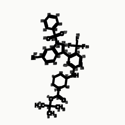 CC(C)(C)OC(=O)N1CCCC(Nc2ncc(C(F)(F)F)c(-c3cn(S(=O)(=O)c4ccccc4)c4cc(Br)ccc34)n2)C1